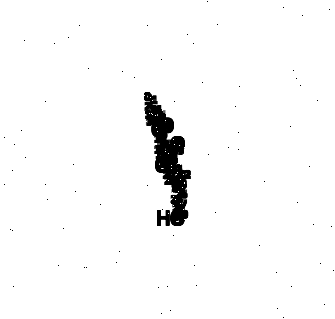 CCCc1ccc(C(=O)OCCc2ccc(OC(=O)c3ccc(OCCCCCCO)c(C)c3)c(C=O)c2)cc1